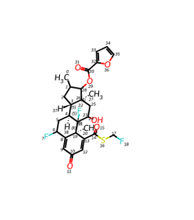 CC1C[C@H]2[C@@H]3CC(F)C4=CC(=O)C=C(C(=O)SCF)[C@]4(C)[C@@]3(F)C(O)C[C@]2(C)C1OC(=O)c1ccco1